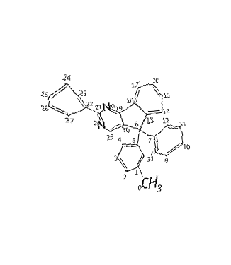 Cc1cccc(C2(c3ccccc3)c3ccccc3-c3nc(-c4ccccc4)ncc32)c1